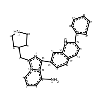 Nc1cccn2c(CC3CCNCC3)nc(-c3ccc4ccc(-c5ccccc5)nc4c3)c12